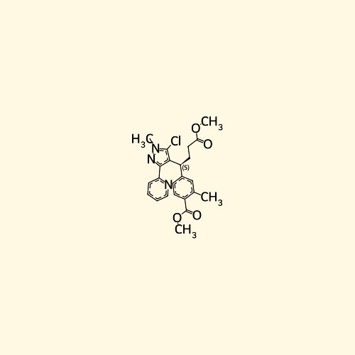 COC(=O)CC[C@@H](c1ccc(C(=O)OC)c(C)c1)c1c(-c2ccccn2)nn(C)c1Cl